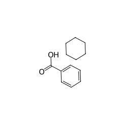 C1CCCCC1.O=C(O)c1ccccc1